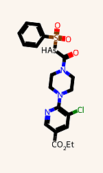 CCOC(=O)c1cnc(N2CCN(C(=O)[AsH]S(=O)(=O)c3ccccc3)CC2)c(Cl)c1